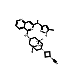 Cc1cc(Nc2cc3ncccc3c(N[C@@H]3C[C@H]4CC([C@H]5C[C@H](C#N)C5)C[C@@H](C3)N4)n2)n[nH]1